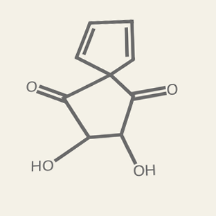 O=C1C(O)C(O)C(=O)C12C=CC=C2